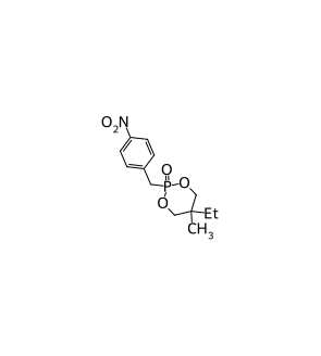 CCC1(C)COP(=O)(Cc2ccc([N+](=O)[O-])cc2)OC1